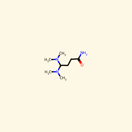 CN(C)C(CCC(N)=O)N(C)C